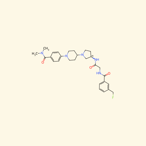 CN(C)C(=O)c1ccc(N2CCC(N3CC[C@@H](NC(=O)CNC(=O)c4cccc(CF)c4)C3)CC2)cc1